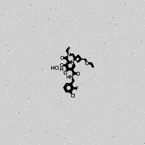 CCOC[C@H]1C[C@@]2(CN(CC)C(=O)c3c(O)c(=O)c(C(=O)NCc4cccc(Cl)c4F)cn32)C1.Cl